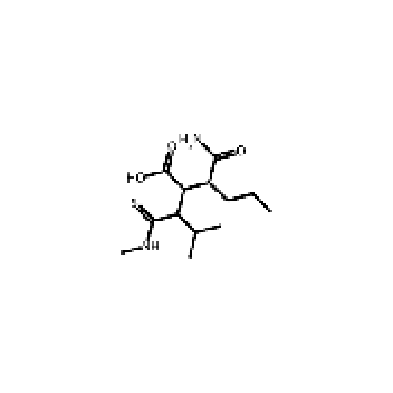 CCCC(C(N)=O)C(C(=O)O)C(C(=S)NC)C(C)C